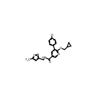 O=C(NCc1cc(C(F)(F)F)on1)c1cnc(OCC2CC2)c(-c2ccc(Cl)cc2)c1